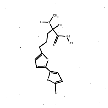 C[S+]([O-])C(C)(CCCc1ccc(-c2ccc(Br)s2)s1)C(=O)NO